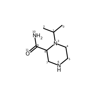 CC(C)N1CCNCC1C(N)=O